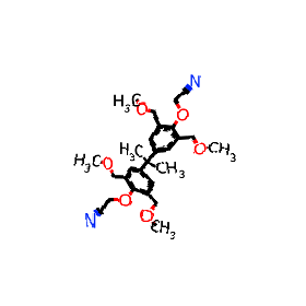 COCc1cc(C(C)(C)c2cc(COC)c(OCC#N)c(COC)c2)cc(COC)c1OCC#N